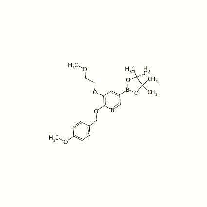 COCCOc1cc(B2OC(C)(C)C(C)(C)O2)cnc1OCc1ccc(OC)cc1